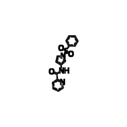 O=C(Nc1ccn(S(=O)(=O)c2ccccc2)c1)c1ccccn1